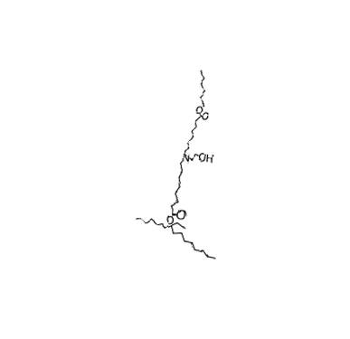 CCCCCCCCC(CC)(CCCCCCC)OC(=O)CCCCCCCN(CCO)CCCCCCCC(=O)OCCCCCC